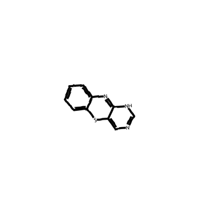 C1=NC=C2Sc3ccccc3N=C2N1